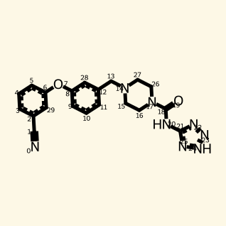 N#Cc1cccc(Oc2cccc(CN3CCN(C(=O)Nc4nn[nH]n4)CC3)c2)c1